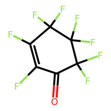 O=C1C(F)=C(F)C(F)(F)C(F)(F)C1(F)F